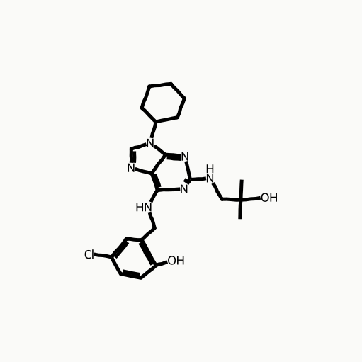 CC(C)(O)CNc1nc(NCc2cc(Cl)ccc2O)c2ncn(C3CCCCC3)c2n1